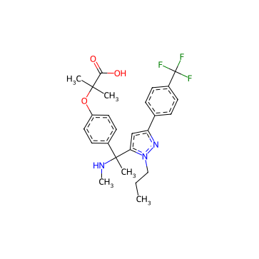 CCCn1nc(-c2ccc(C(F)(F)F)cc2)cc1C(C)(NC)c1ccc(OC(C)(C)C(=O)O)cc1